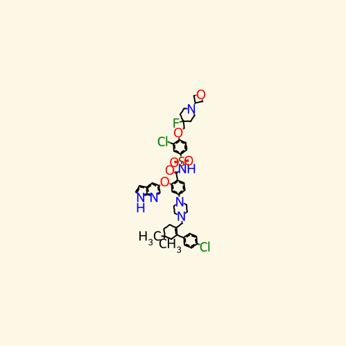 CC1(C)CCC(CN2CCN(c3ccc(C(=O)NS(=O)(=O)c4ccc(OCC5(F)CCN(C6COC6)CC5)c(Cl)c4)c(Oc4cnc5[nH]ccc5c4)c3)CC2)=C(c2ccc(Cl)cc2)C1